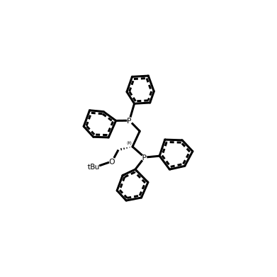 CC(C)(C)OC[C@H](CP(c1ccccc1)c1ccccc1)P(c1ccccc1)c1ccccc1